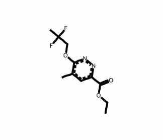 CCOC(=O)c1cc(C)c(OCC(C)(F)F)nn1